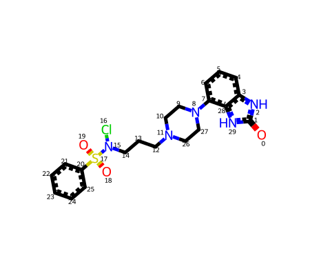 O=c1[nH]c2cccc(N3CCN(CCCN(Cl)S(=O)(=O)c4ccccc4)CC3)c2[nH]1